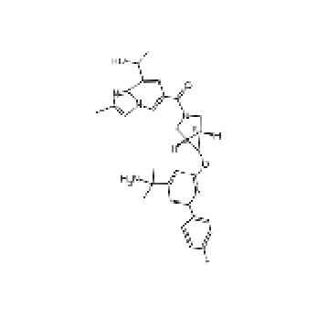 Cc1cn2cc(C(=O)N3C[C@@H]4C(Oc5cc(C(C)(C)N)cc(-c6ccc(F)cc6)n5)[C@@H]4C3)cc(C(C)O)c2n1